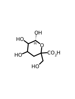 O=C(O)C1(CO)CC(O)C(O)[C@H](O)O1